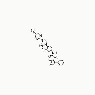 Cc1cc(-c2ccccc2)c(C(=O)C(=O)Nc2ccc3c(c2)OC[C@@H]2CN(c4ncc(N5CCC5)cn4)CCN32)n1C